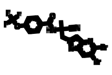 CC(C#N)(Cn1cc2nc(Br)c(Br)cc2n1)NC(=O)c1ccc(OC(F)(F)F)cc1